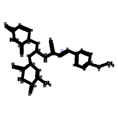 COc1ccc(/C=C/C(=O)NC(Cn2ccc(=O)[nH]c2=O)Cn2cc(C)c(=O)[nH]c2=O)cc1